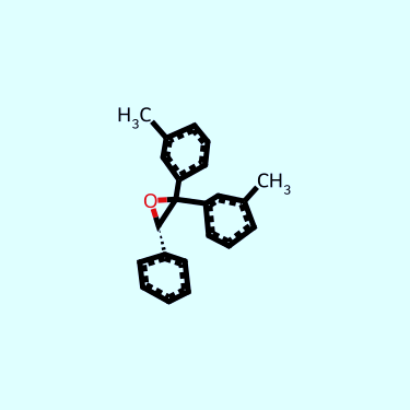 Cc1cccc(C2(c3cccc(C)c3)O[C@H]2c2ccccc2)c1